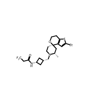 CCc1cc2c(s1)CCO[C@@]21CCN(C[C@H]2C[C@@H](NC(=O)CC(F)(F)F)C2)[C@@H](C)C1